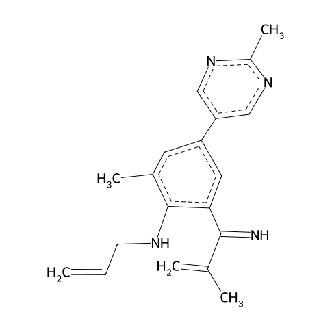 C=CCNc1c(C)cc(-c2cnc(C)nc2)cc1C(=N)C(=C)C